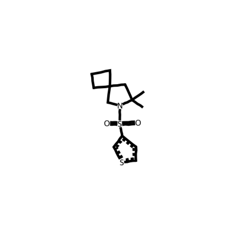 CC1(C)CC2(CCC2)CN1S(=O)(=O)c1ccsc1